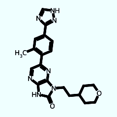 Cc1cc(-c2nc[nH]n2)ccc1-c1cnc2[nH]c(=O)n(CCC3CCOCC3)c2n1